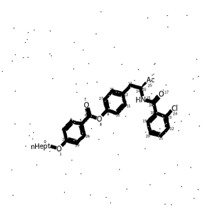 CCCCCCCOc1ccc(C(=O)Oc2ccc(C[C@H](NC(=O)c3ccccc3Cl)C(C)=O)cc2)cc1